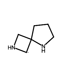 [CH]1NCC12CCCN2